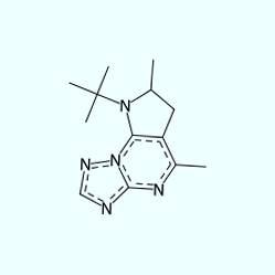 Cc1nc2ncnn2c2c1CC(C)N2C(C)(C)C